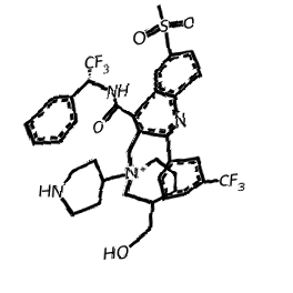 CS(=O)(=O)c1ccc2nc(-c3cccc(C(F)(F)F)c3)c(C[N+]3(C4CCNCC4)CCCC(CO)C3)c(C(=O)N[C@H](c3ccccc3)C(F)(F)F)c2c1